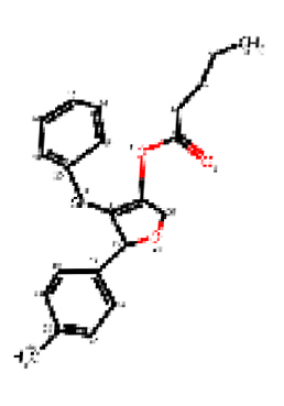 CCCCC(=O)OC1=C([Se]c2ccccc2)C(c2ccc(C)cc2)OC1